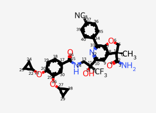 C[C@]1(C(N)=O)COc2c1cc(C(O)(CNC(=O)c1ccc(OC3CC3)c(OC3CC3)c1)C(F)(F)F)nc2-c1ccc(C#N)cc1